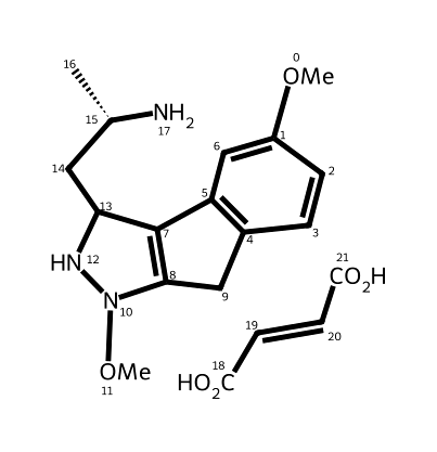 COc1ccc2c(c1)C1=C(C2)N(OC)NC1C[C@H](C)N.O=C(O)C=CC(=O)O